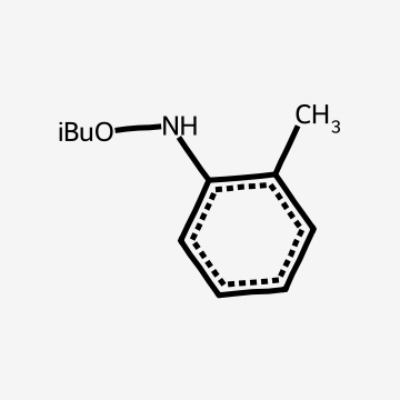 Cc1ccccc1NOCC(C)C